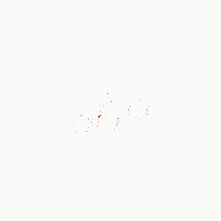 O=C(OC1CC2CCC(C1)N2C(=O)OC(Cl)(Cl)Cl)c1ccccc1